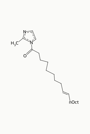 CCCCCCCCC=CCCCCCCCC(=O)n1ccnc1C